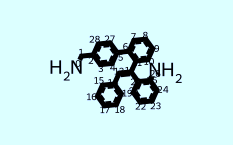 NCc1ccc(-c2ccccc2C(=Cc2ccccc2)c2ccccc2N)cc1